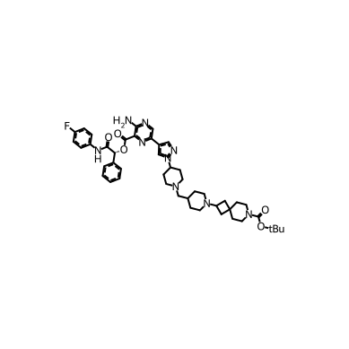 CC(C)(C)OC(=O)N1CCC2(CC1)CC(N1CCC(CN3CCC(n4cc(-c5cnc(N)c(C(=O)O[C@@H](C(=O)Nc6ccc(F)cc6)c6ccccc6)n5)cn4)CC3)CC1)C2